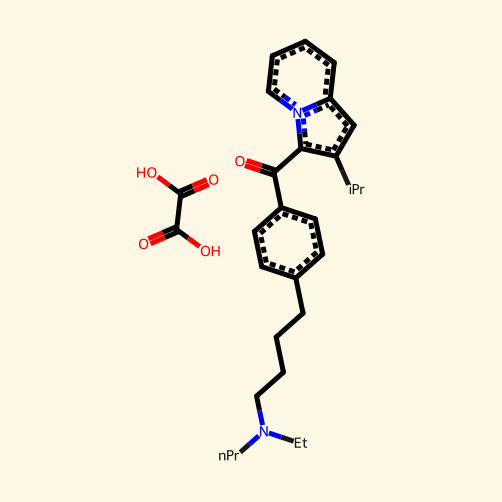 CCCN(CC)CCCCc1ccc(C(=O)c2c(C(C)C)cc3ccccn23)cc1.O=C(O)C(=O)O